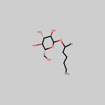 [2H]C(CCCCC)OC1O[C@H](CO)[C@@H](O)[C@H](O)[C@H]1O